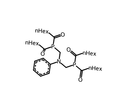 CCCCCCC(=O)P(CN(CP(C(=O)CCCCCC)C(=O)CCCCCC)c1ccccc1)C(=O)CCCCCC